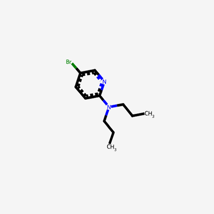 CCCN(CCC)c1ccc(Br)cn1